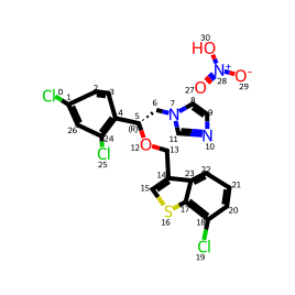 Clc1ccc([C@H](Cn2ccnc2)OCc2csc3c(Cl)cccc23)c(Cl)c1.O=[N+]([O-])O